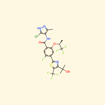 Cc1n[nH]c(Cl)c1NC(=O)c1cc(F)c(-c2nc(C(C)(C)O)c(C(F)(F)F)s2)cc1O[C@@H](C)C(F)(F)F